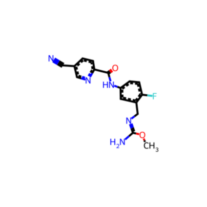 CO/C(N)=N\Cc1cc(NC(=O)c2ccc(C#N)cn2)ccc1F